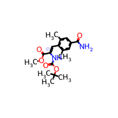 COC(=O)/C(=C/c1c(C)cc(C(N)=O)cc1C)NC(=O)OC(C)(C)C